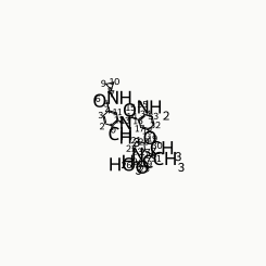 Cc1ccc(C(=O)NC2CC2)cc1NC(=O)c1cc(O[C@@H]2CCN(C(=O)O)C2C(C)(C)C)ccc1N